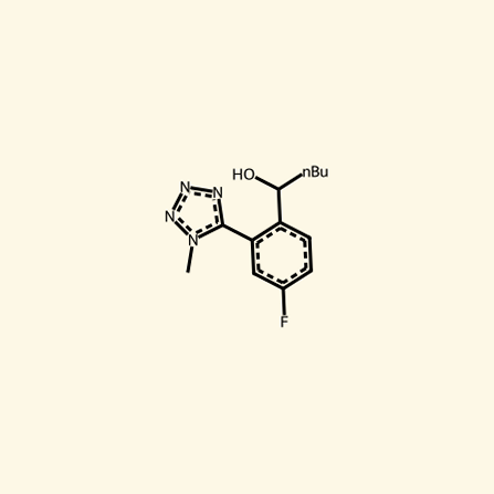 CCCCC(O)c1ccc(F)cc1-c1nnnn1C